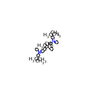 CC(C)(C)c1ccc(N(c2ccccc2)c2ccc3cc4c(cc3c2)C(C)(C)c2c-4c3ccccc3c3cc(N(c4ccccc4)c4ccc(C(C)(C)C)cc4)ccc23)cc1